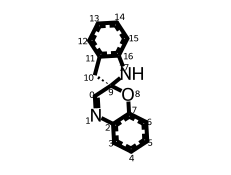 C1=Nc2ccccc2O[C@@]12Cc1ccccc1N2